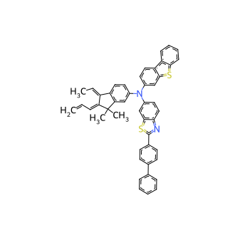 C=C/C=C1\C(=C/C)c2ccc(N(c3ccc4nc(-c5ccc(-c6ccccc6)cc5)sc4c3)c3ccc4c(c3)sc3ccccc34)cc2C1(C)C